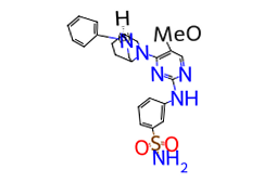 COc1cnc(Nc2cccc(S(N)(=O)=O)c2)nc1N1C[C@@H]2CCC1CN2c1ccccc1